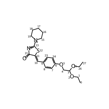 CCOC(COc1ccc(/C=C2\SC(N3CCCCC3)=NC2=O)cc1)OCC